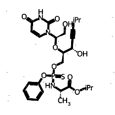 CC(C)C#C[C@H](O)[C@@H](COP(=S)(N[C@@H](C)C(=O)OC(C)C)Oc1ccccc1)O[C@H](CO)n1ccc(=O)[nH]c1=O